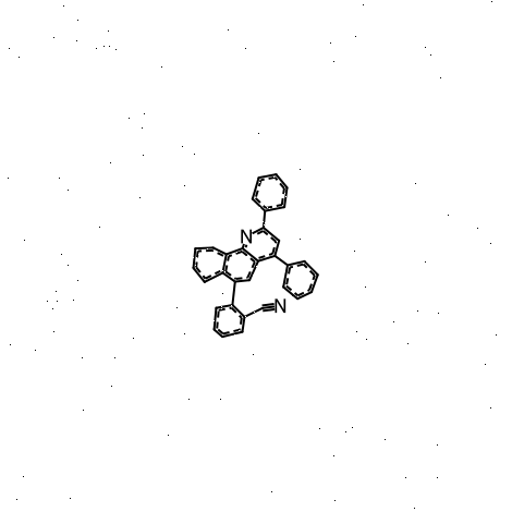 N#Cc1ccccc1-c1cc2c(-c3ccccc3)cc(-c3ccccc3)nc2c2ccccc12